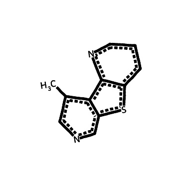 Cc1cncc2sc3cccnc3c12